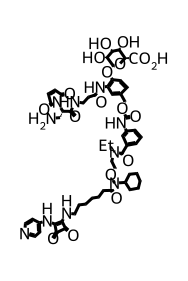 CCN(CCON(C(=O)CCCCCCNc1c(Nc2ccncc2)c(=O)c1=O)C1CCCCC1)C(=O)c1cccc(NC(=O)OCc2ccc(O[C@@H]3O[C@H](C(=O)O)[C@@H](O)[C@H](O)[C@H]3O)c(NC(=O)CCNC(=O)[C@H](CN)N3C(=O)C=CC3=O)c2)c1